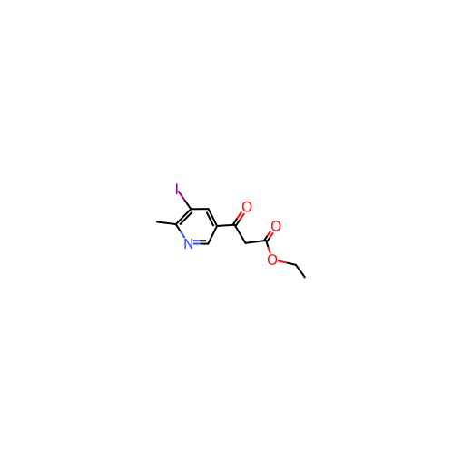 CCOC(=O)CC(=O)c1cnc(C)c(I)c1